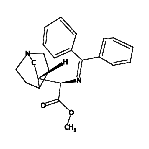 COC(=O)[C@H](N=C(c1ccccc1)c1ccccc1)[C@H]1CN2CCC1CC2